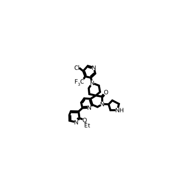 CCOc1ncccc1-c1ccc2c(n1)CN(C1CCNC1)C(=O)C21CCN(c2cncc(Cl)c2C(F)(F)F)CC1